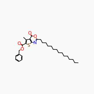 CCCCCCCCCCCCCCCc1nc2sc(C(=O)OCc3ccccc3)c(C)c2c(=O)o1